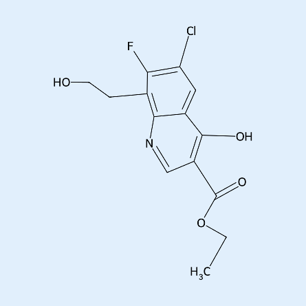 CCOC(=O)c1cnc2c(CCO)c(F)c(Cl)cc2c1O